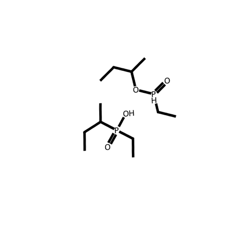 CCC(C)O[PH](=O)CC.CCC(C)P(=O)(O)CC